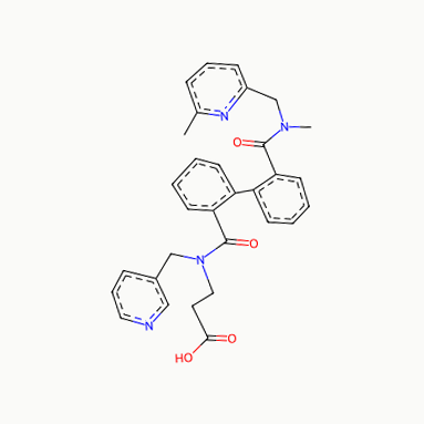 Cc1cccc(CN(C)C(=O)c2ccccc2-c2ccccc2C(=O)N(CCC(=O)O)Cc2cccnc2)n1